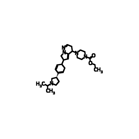 CCOC(=O)N1CCN(C2CC=NN3CC(C4C=CC([C@@H]5CCN(C(C)C)C5)=CC4)C=C23)CC1